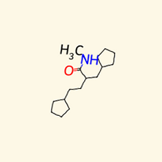 CNC(=O)C(CCC1CCCC1)CC1CCCC1